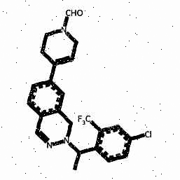 CC(c1ccc(Cl)cc1C(F)(F)F)N1Cc2cc(C3=CCN(C=O)CC3)ccc2C=N1